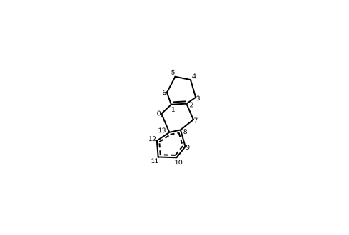 [CH]1C2=C(CCCC2)Cc2ccccc21